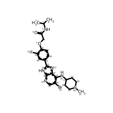 CC(C)NC(=O)COc1ccc(-c2nc3c(NC4CCN(C)CC4)c(Br)cnc3[nH]2)cc1F